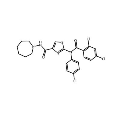 O=C(NN1CCCCCC1)c1csc(N(C(=O)c2ccc(Cl)cc2Cl)c2ccc(Cl)cc2)n1